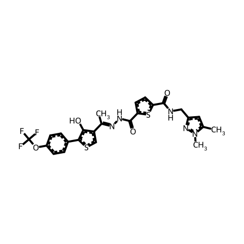 C/C(=N\NC(=O)c1ccc(C(=O)NCc2cc(C)n(C)n2)s1)c1csc(-c2ccc(OC(F)(F)F)cc2)c1O